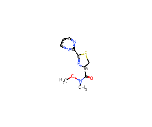 CON(C)C(=O)[C@@H]1CSC(c2ncccn2)=N1